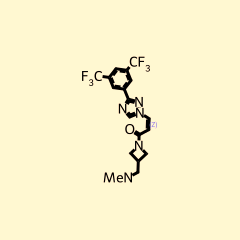 CNCC1CN(C(=O)/C=C\n2cnc(-c3cc(C(F)(F)F)cc(C(F)(F)F)c3)n2)C1